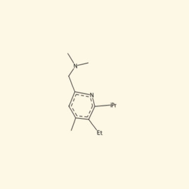 CCc1c(C)cc(CN(C)C)nc1C(C)C